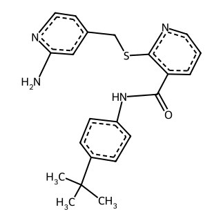 CC(C)(C)c1ccc(NC(=O)c2cccnc2SCc2ccnc(N)c2)cc1